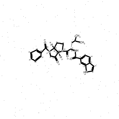 CC(C)C[C@H](NC(=O)c1ccc2cc[nH]c2c1)C(=O)N1CC[C@@H]2[C@H]1C(=O)CN2C(=O)c1ccccc1